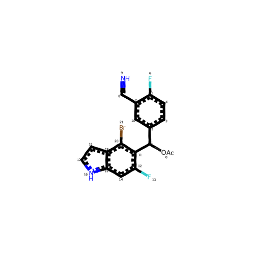 CC(=O)OC(c1ccc(F)c(C=N)c1)c1c(F)cc2[nH]ccc2c1Br